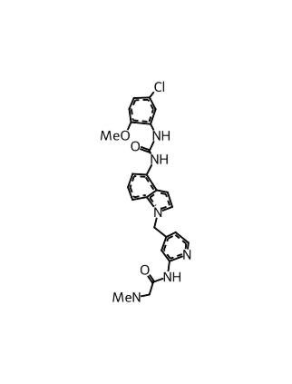 CNCC(=O)Nc1cc(Cn2ccc3c(NC(=O)Nc4cc(Cl)ccc4OC)cccc32)ccn1